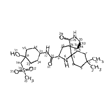 CC1(C)CCC2(CC1)NC(C(=O)NC1CCC(O)(CS(C)(=O)=O)CC1)CC21C(=O)Nc2ccccc21